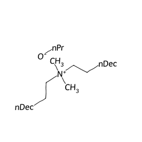 CCCCCCCCCCCC[N+](C)(C)CCCCCCCCCCCC.CCC[O-]